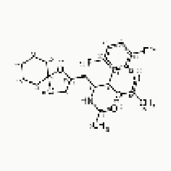 CC(=O)NC(C[C@H]1COC2(CCCCC2)O1)C(OC(C)=O)c1cc(F)ccc1F